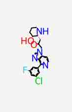 O=C(C[C@H]1NCCC[C@@H]1O)Cn1cnc2c(-c3cc(F)cc(Cl)c3)nccc21